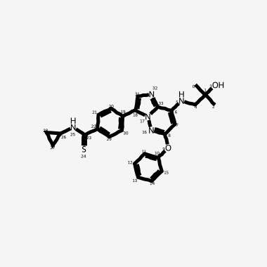 CC(C)(O)CNc1cc(Oc2ccccc2)nn2c(-c3ccc(C(=S)NC4CC4)cc3)cnc12